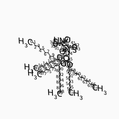 CCCCCCCCCCC(CCCCCCCC)COc1cc(CN2C(=O)C3=C(c4cccs4)NC(=O)C3=C2c2cccs2)cc(OCC(CCCCCCCC)CCCCCCCCCC)c1OCC(CCCCCCCC)CCCCCCCCCC